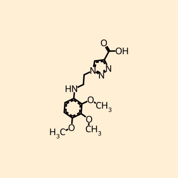 COc1ccc(NCCn2cc(C(=O)O)nn2)c(OC)c1OC